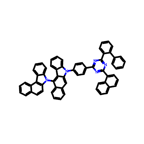 c1ccc(-c2ccccc2-c2nc(-c3ccc(-n4c5ccccc5c5c(-n6c7ccccc7c7c8ccccc8ccc76)c6ccccc6cc54)cc3)nc(-c3cccc4ccccc34)n2)cc1